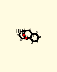 c1ccc2c(c1)CC1NCCC23CCCCC13